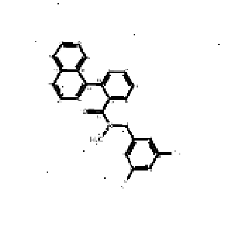 CN(Cc1cc(F)cc(F)c1)C(=O)c1ccccc1-c1cccc2ccccc12